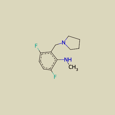 CNc1c(F)ccc(F)c1CN1CCCC1